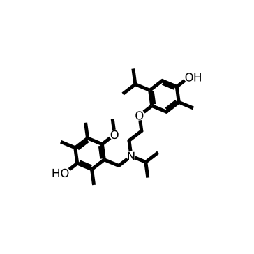 COc1c(C)c(C)c(O)c(C)c1CN(CCOc1cc(C)c(O)cc1C(C)C)C(C)C